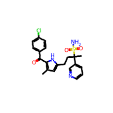 Cc1cc(CCC(C)(c2cccnc2)S(N)(=O)=O)[nH]c1C(=O)c1ccc(Cl)cc1